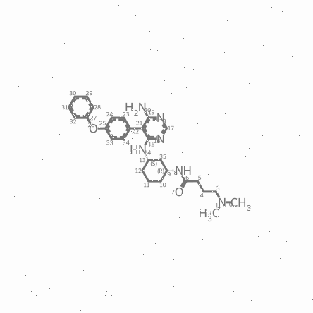 CN(C)CCCC(=O)N[C@@H]1CCC[C@H](Nc2ncnc(N)c2-c2ccc(Oc3ccccc3)cc2)C1